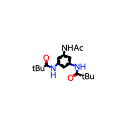 CC(=O)Nc1cc(NC(=O)C(C)(C)C)cc(NC(=O)C(C)(C)C)c1